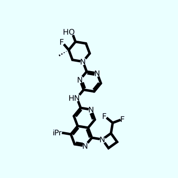 CC(C)c1cnc(N2CCC2C(F)F)c2cnc(Nc3ccnc(N4CCC(O)[C@](C)(F)C4)n3)cc12